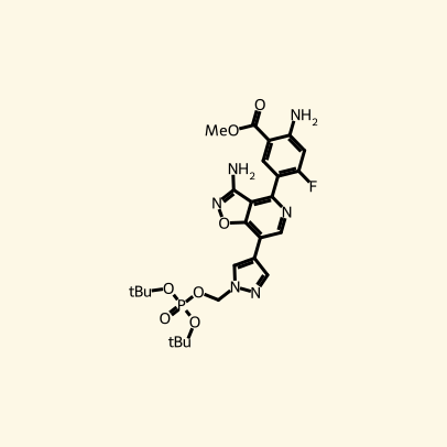 COC(=O)c1cc(-c2ncc(-c3cnn(COP(=O)(OC(C)(C)C)OC(C)(C)C)c3)c3onc(N)c23)c(F)cc1N